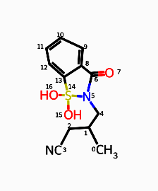 CC(CC#N)CN1C(=O)c2ccccc2S1(O)O